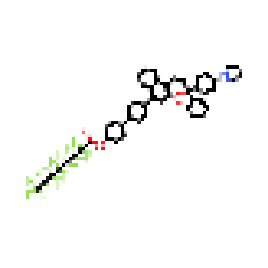 O=C(Oc1ccc(-c2ccc(-c3cc4c(c5ccccc35)C=CC(c3ccccc3)(c3ccc(N5CCCC5)cc3)O4)cc2)cc1)C(F)(F)C(F)(F)C(F)(F)C(F)(F)C(F)(F)C(F)(F)C(F)(F)F